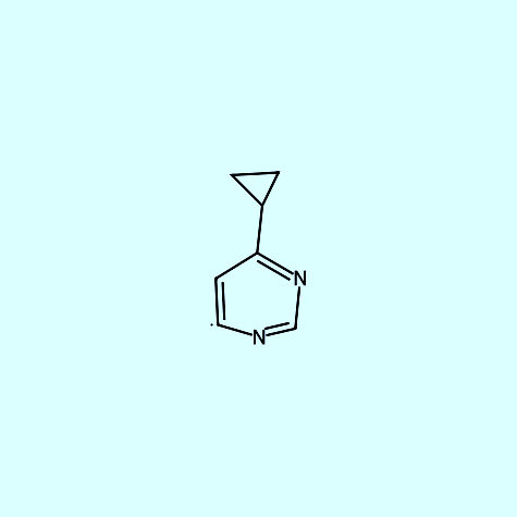 [c]1cc(C2CC2)ncn1